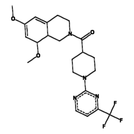 COC1=CC(OC)C2CN(C(=O)C3CCN(c4nccc(C(F)(F)F)n4)CC3)CCC2=C1